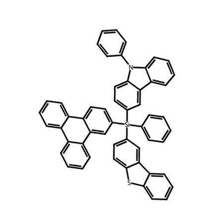 c1ccc(-n2c3ccccc3c3cc([Si](c4ccccc4)(c4ccc5sc6ccccc6c5c4)c4ccc5c6ccccc6c6ccccc6c5c4)ccc32)cc1